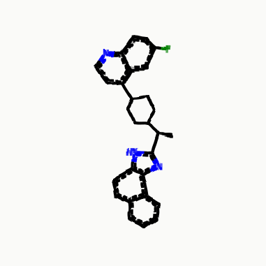 C[C@@H](c1nc2c(ccc3ccccc32)[nH]1)C1CCC(c2ccnc3ccc(F)cc23)CC1